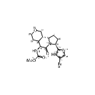 COC(=O)N[C@H](C(=O)N1CCC[C@H]1c1ncc(Br)[nH]1)C1CCOCC1